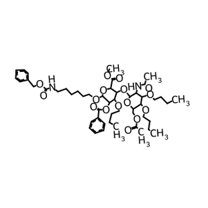 CCCCOC1C(COC(C)=O)OC(OC2C(C(=O)OC)OC(OCCCCCCNC(=O)OCc3ccccc3)C(OC(=O)c3ccccc3)C2OCCCC)C(NC(C)=O)C1OCCCC